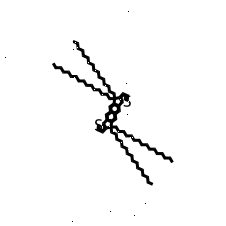 CCCCCCCCCCCCCCCCC1(CCCCCCCCCCCCCCCC)c2cc3cc4c(cc3cc2-c2sccc21)C(CCCCCCCCCCCCCCCC)(CCCCCCCCCCCCCCCC)c1ccsc1-4